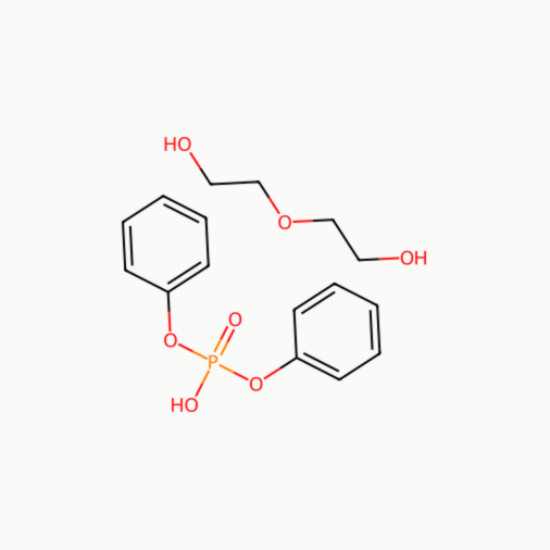 O=P(O)(Oc1ccccc1)Oc1ccccc1.OCCOCCO